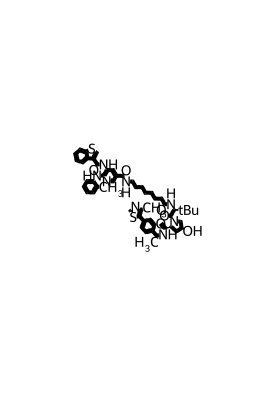 Cc1ccccc1Nc1ncc(C(=O)NCCCCCCCC(=O)N[C@H](C(=O)N2C[C@H](O)C[C@H]2C(=O)N[C@@H](C)c2ccc(-c3scnc3C)cc2)C(C)(C)C)cc1NC(=O)c1csc2ccccc12